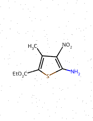 CCOC(=O)c1sc(N)c([N+](=O)[O-])c1C